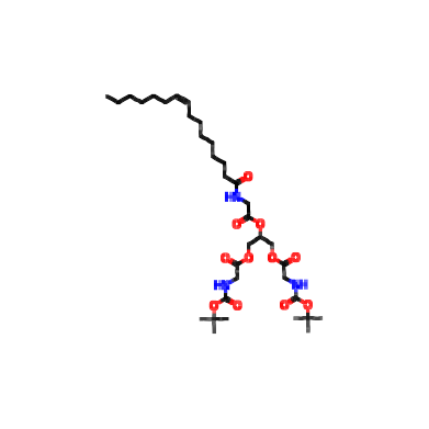 CCCCCC/C=C\CCCCCCCC(=O)NCC(=O)OC(COC(=O)CNC(=O)OC(C)(C)C)COC(=O)CNC(=O)OC(C)(C)C